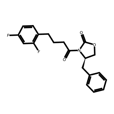 O=C(CCCc1ccc(F)cc1F)N1C(=O)OC[C@H]1Cc1ccccc1